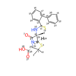 CC1(C)S[C@H]2N(C(=O)[C@]2(C)NC(=S)c2ccccc2-c2ccccc2)[C@H]1C(=O)O